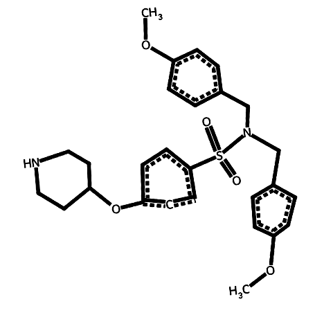 COc1ccc(CN(Cc2ccc(OC)cc2)S(=O)(=O)c2ccc(OC3CCNCC3)cc2)cc1